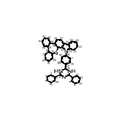 c1ccc(C2=NC(c3ccccc3)NC(c3ccc(-n4c5ccccc5c5ccc6c(c54)Sc4ccccc4-c4ccccc4-6)cc3)N2)cc1